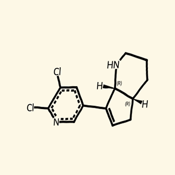 Clc1cc(C2=CC[C@H]3CCCN[C@@H]23)cnc1Cl